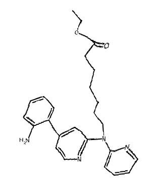 CCOC(=O)CCCCCCN(c1ccccn1)c1cc(-c2ccccc2N)ccn1